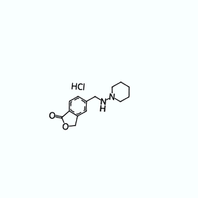 Cl.O=C1OCc2cc(CNN3CCCCC3)ccc21